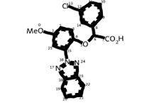 COc1ccc(OC(C(=O)O)c2cccc(Cl)c2)c(-n2nc3ccccc3n2)c1